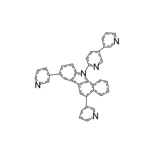 c1cncc(-c2ccc(-n3c4ccc(-c5cccnc5)cc4c4cc(-c5cccnc5)c5ccccc5c43)nc2)c1